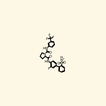 NS(=O)(=O)c1ccccc1-c1ccc(NC(=O)C2CCCN2C(=O)Nc2cccc(C(F)(F)F)c2)c(F)c1